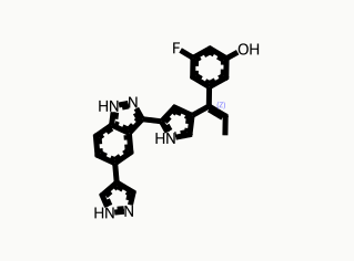 C/C=C(/c1cc(O)cc(F)c1)c1c[nH]c(-c2n[nH]c3ccc(-c4cn[nH]c4)cc23)c1